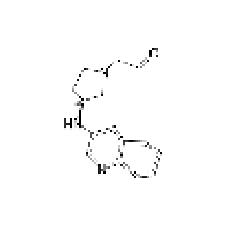 O=[C]CN1CC[C@H](Nc2cnc3ccccc3c2)C1